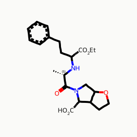 CCOC(=O)C(CCc1ccccc1)N[C@@H](C)C(=O)N1CC2OCCC2C1C(=O)O